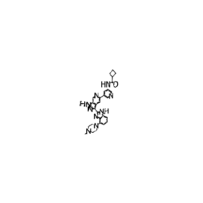 CN1CCN(c2cccc3[nH]c(-c4n[nH]c5cnc(-c6cncc(NC(=O)C7CCC7)c6)cc45)nc23)CC1